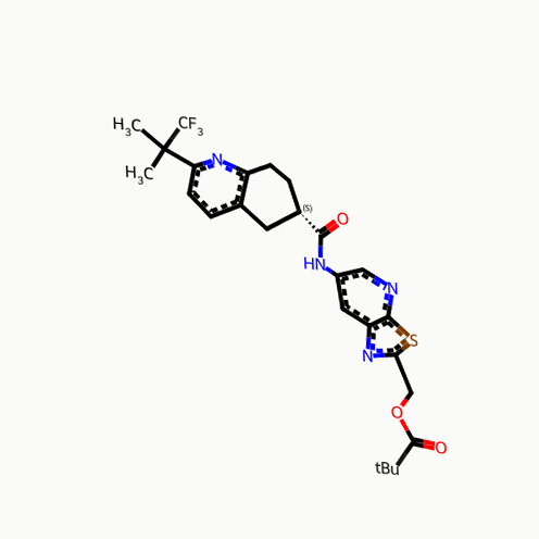 CC(C)(C)C(=O)OCc1nc2cc(NC(=O)[C@H]3CCc4nc(C(C)(C)C(F)(F)F)ccc4C3)cnc2s1